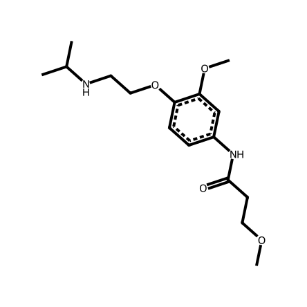 COCCC(=O)Nc1ccc(OCCNC(C)C)c(OC)c1